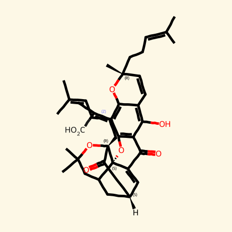 CC(C)=CCC[C@]1(C)C=Cc2c(O)c3c(c(CC=C(C)C)c2O1)O[C@]12C(=C[C@@H]4CC1CC(C)(C)O[C@@]2(C/C=C(/C)C(=O)O)C4=O)C3=O